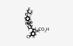 O=C(O)Cn1cc(C2CCN(S(=O)(=O)c3ccc(OC(CF)CF)cc3)C2)c2cc(Cl)ccc21